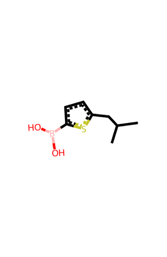 CC(C)Cc1ccc(B(O)O)s1